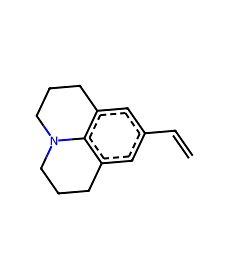 C=Cc1cc2c3c(c1)CCCN3CCC2